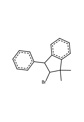 CC1(C)c2ccccc2C(c2ccccc2)C1Br